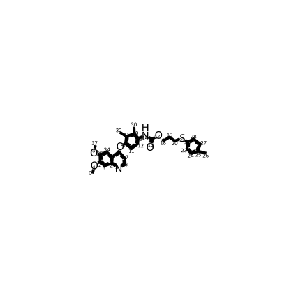 COc1cc2nccc(Oc3ccc(NC(=O)OCCCSc4ccc(C)cc4)c(C)c3C)c2cc1OC